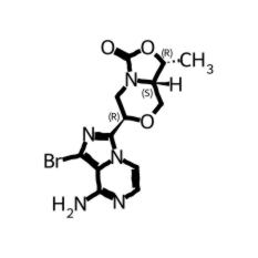 C[C@H]1OC(=O)N2C[C@H](c3nc(Br)c4c(N)nccn34)OC[C@@H]12